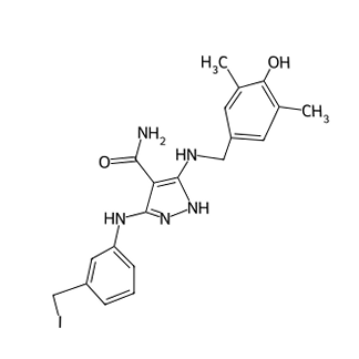 Cc1cc(CNc2[nH]nc(Nc3cccc(CI)c3)c2C(N)=O)cc(C)c1O